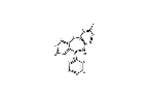 Fc1ccc2c(c1)Cc1ccccc1C(c1ccccc1)=N2